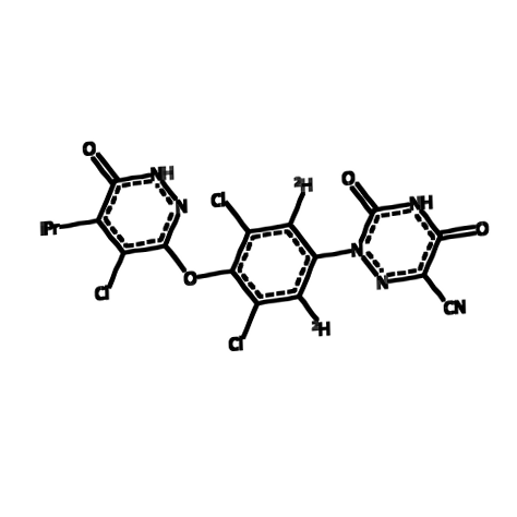 [2H]c1c(Cl)c(Oc2n[nH]c(=O)c(C(C)C)c2Cl)c(Cl)c([2H])c1-n1nc(C#N)c(=O)[nH]c1=O